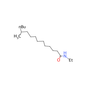 CCCCC(C)CCCCCCCCCC(=O)NCC